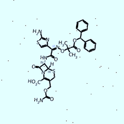 CC(C)(O/N=C(\C(=O)N[C@H]1C(=O)N2C(C(=O)O)=C(COC(N)=O)CS[C@@H]12)c1csc(N)n1)C(=O)OC(c1ccccc1)c1ccccc1